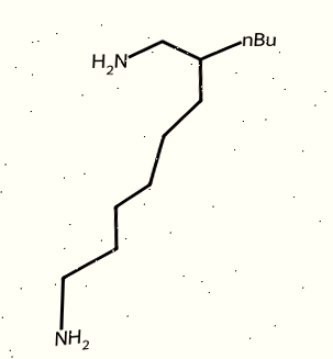 CCCCC(CN)CCCCCCN